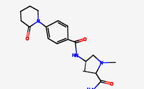 CN1CC(NC(=O)c2ccc(N3CCCCC3=O)cc2)[CH]C1C(N)=O